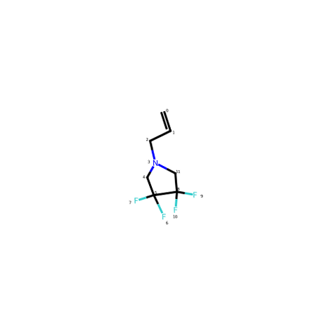 C=CCN1CC(F)(F)C(F)(F)C1